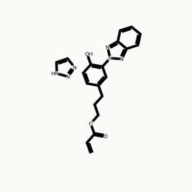 C=CC(=O)OCCCc1ccc(O)c(-n2nc3ccccc3n2)c1.c1c[nH]nn1